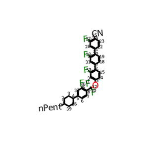 CCCCCC1CCC(c2ccc(C(F)(F)Oc3ccc(-c4ccc(-c5ccc(C#N)c(F)c5)c(F)c4)c(F)c3)c(F)c2)CC1